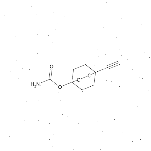 C#CC12CCC(OC(N)=O)(CC1)CC2